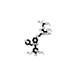 Cc1cc(-c2nc3cc(OCCN[C@H](C(=O)OCC(C)C)C(C)O)ccc3n2CC2CCOCC2)cn(C)c1=O